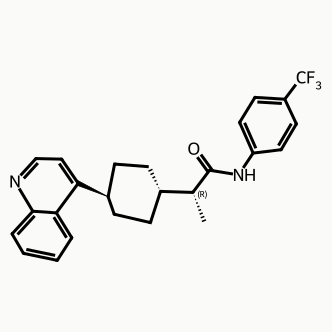 C[C@@H](C(=O)Nc1ccc(C(F)(F)F)cc1)[C@H]1CC[C@H](c2ccnc3ccccc32)CC1